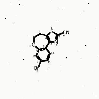 N#Cc1nc2c(s1)CCOc1cc(Br)ccc1-2